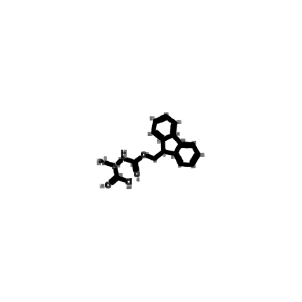 CC(C)N(NC(=O)OCC1c2ccccc2-c2ccccc21)C(=O)Cl